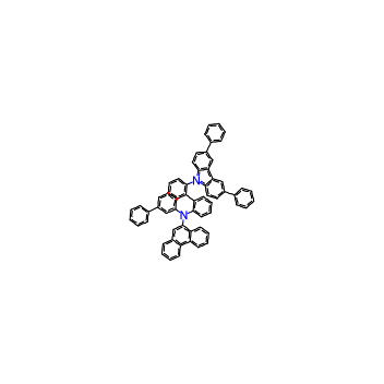 c1ccc(-c2cccc(N(c3ccccc3-c3ccccc3-n3c4ccc(-c5ccccc5)cc4c4cc(-c5ccccc5)ccc43)c3cc4ccccc4c4ccccc34)c2)cc1